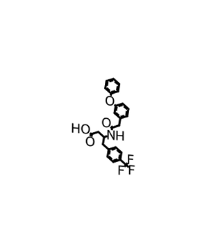 O=C(O)CC(Cc1ccc(C(F)(F)F)cc1)NC(=O)Cc1cccc(Oc2ccccc2)c1